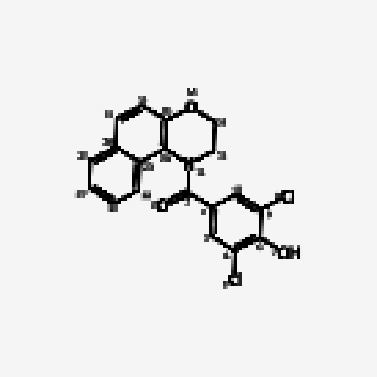 O=C(c1cc(Cl)c(O)c(Cl)c1)N1CCOc2ccc3ccccc3c21